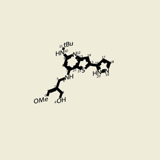 COC=C(CO)CNc1cc(NC(C)(C)C)nc2cc(-c3ccn[nH]3)sc12